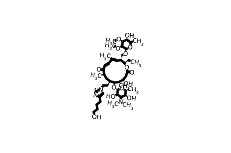 CC[C@H]1OC(=O)C[C@@H](O)[C@H](C)[C@@H](O[C@@H]2O[C@H](C)[C@@H](O)C(N(C)C)C2O)[C@@H](CCn2cc(CCCCO)nn2)C[C@@H](C)C(=O)/C=C/C(C)=C/[C@@H]1CO[C@@H]1OC(C)[C@@H](O)[C@H](OC)C1OC